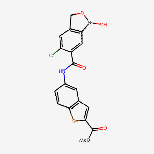 COC(=O)c1cc2cc(NC(=O)c3cc4c(cc3Cl)COB4O)ccc2s1